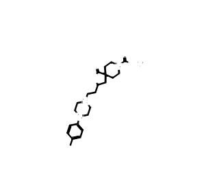 COC(=O)N1CCC2(CC1)CC(CCN1CCN(c3ccc(C)cc3)CC1)OC2=O